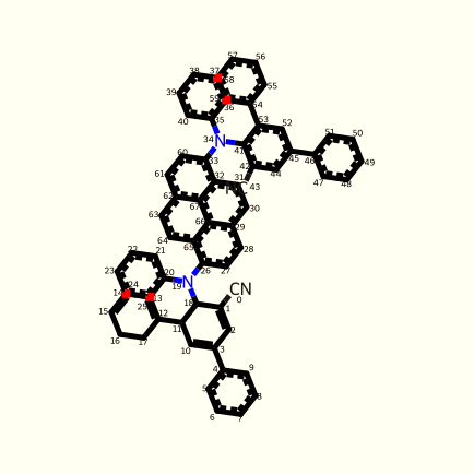 N#CC1=CC(c2ccccc2)=CC(C2=CC=CCC2)C1N(c1ccccc1)c1ccc2ccc3c(N(c4ccccc4)c4c(C#N)cc(-c5ccccc5)cc4-c4ccccc4)ccc4ccc1c2c43